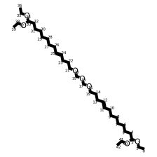 CCOC(CCCCCCCC=CCCCOCOCOCCCC=CCCCCCCCC(OCC)OCC)OCC